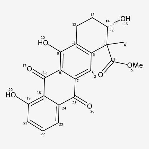 COC(=O)C1(C)c2cc3c(c(O)c2CC[C@@H]1O)C(=O)c1c(O)cccc1C3=O